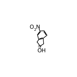 O=[N+]([O-])c1ccc2c(c1)C[C@@H](O)C2